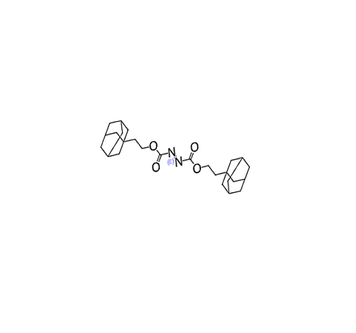 O=C(/N=N/C(=O)OCCC12CC3CC(CC(C3)C1)C2)OCCC12CC3CC(CC(C3)C1)C2